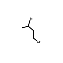 [CH2]CC(C)CCO